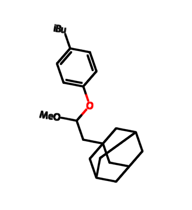 CCC(C)c1ccc(OC(CC23CC4CC(CC(C4)C2)C3)OC)cc1